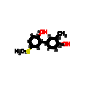 CSc1ccc(O)c(-c2ccc(O)c(C)c2)c1